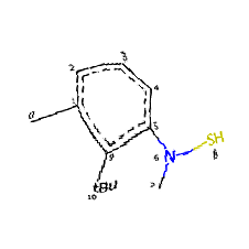 Cc1cccc(N(C)S)c1C(C)(C)C